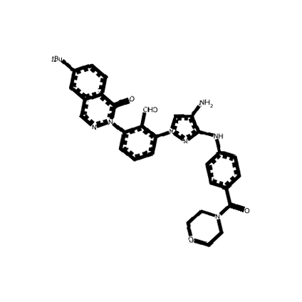 CC(C)(C)c1ccc2c(=O)n(-c3cccc(-n4cc(N)c(Nc5ccc(C(=O)N6CCOCC6)cc5)n4)c3C=O)ncc2c1